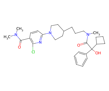 CN(C)C(=O)c1ccc(N2CCC(CCCN(C)C(=O)C(O)(c3ccccc3)C3CCC3)CC2)nc1Cl